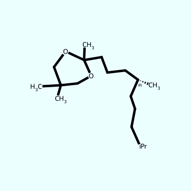 CC(C)CCC[C@@H](C)CCCC1(C)OCC(C)(C)CO1